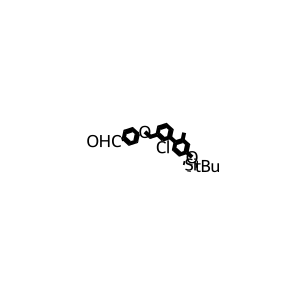 Cc1cc(O[Si](C)(C)C(C)(C)C)ccc1-c1cccc(COc2ccc(C=O)cc2)c1Cl